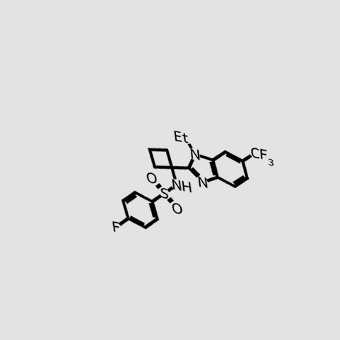 CCn1c(C2(NS(=O)(=O)c3ccc(F)cc3)CCC2)nc2ccc(C(F)(F)F)cc21